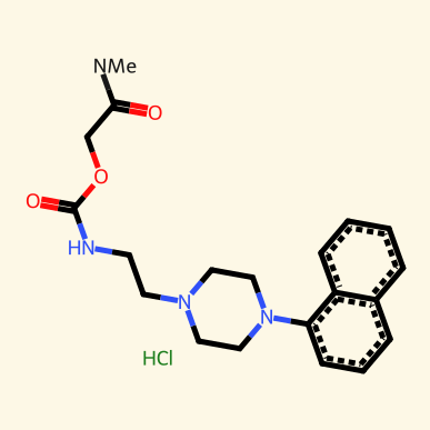 CNC(=O)COC(=O)NCCN1CCN(c2cccc3ccccc23)CC1.Cl